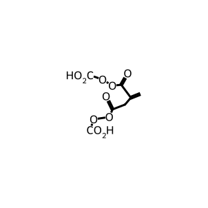 C=C(CC(=O)OOC(=O)O)C(=O)OOC(=O)O